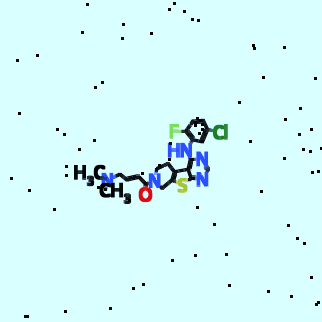 CN(C)C/C=C/C(=O)N1CCc2c(sc3ncnc(Nc4cc(Cl)ccc4F)c23)C1